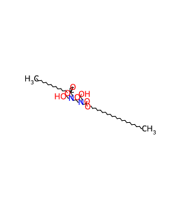 CCCCCCCCCCCCCCCCCCCCCCCOC(=O)CN(CCCN(CCO)CC(=C=O)OCCCCCCCCCCCCC)CC(=O)O